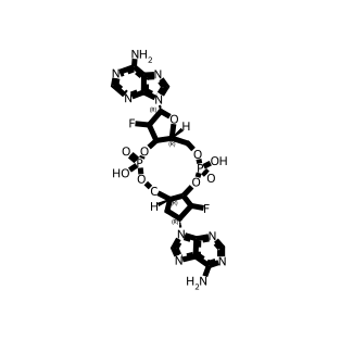 Nc1ncnc2c1ncn2[C@@H]1C[C@@H]2COP(=O)(O)OC3C(F)[C@H](n4cnc5c(N)ncnc54)O[C@@H]3COP(=O)(O)OC2C1F